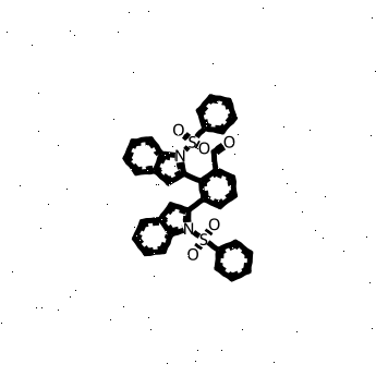 O=Cc1cccc(-c2cc3ccccc3n2S(=O)(=O)c2ccccc2)c1-c1cc2ccccc2n1S(=O)(=O)c1ccccc1